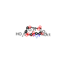 C=CC(=O)OCCCCCCCCOc1ccccc1.CCCCCCCCOc1cc(N)c(-c2ccc(C(=O)Oc3ccc(COC(=O)c4cc(C(=O)O)ccc4C(=O)O)cc3)cc2)cc1[N+](=O)[O-]